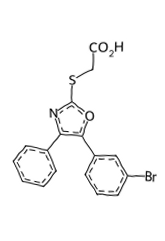 O=C(O)CSc1nc(-c2ccccc2)c(-c2cccc(Br)c2)o1